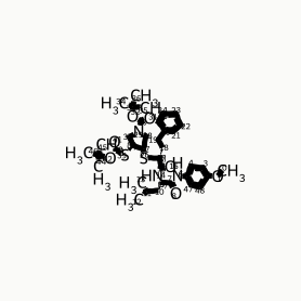 COc1ccc(NC(=O)[C@H](CC(C)C)NC(=O)[C@@H](CCc2ccccc2)SC2CN(C(=O)OC(C)(C)C)C[C@@H]2SC(=O)OC(C)(C)C)cc1